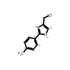 FC(F)(F)c1ccc(-c2nc(CCl)co2)cc1